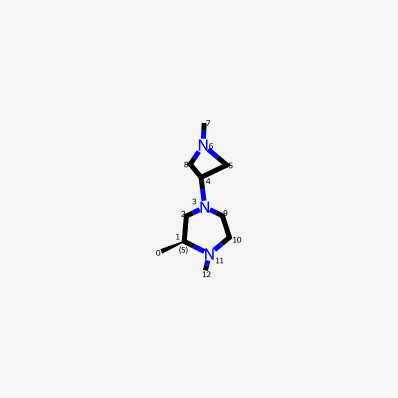 C[C@H]1CN(C2CN(C)C2)CCN1C